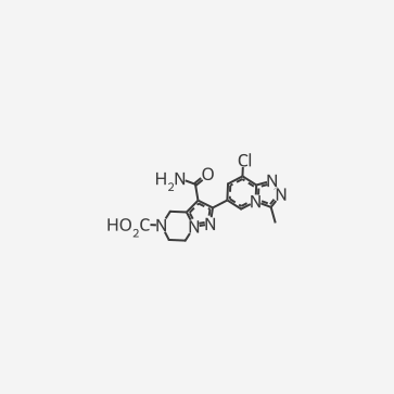 Cc1nnc2c(Cl)cc(-c3nn4c(c3C(N)=O)CN(C(=O)O)CC4)cn12